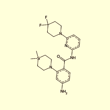 C[Si]1(C)CCN(c2cc(N)ccc2C(=O)Nc2cccc(N3CCC(F)(F)CC3)n2)CC1